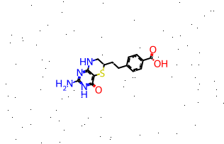 Nc1nc2c(c(=O)[nH]1)SC(CCc1ccc(C(=O)O)cc1)CN2